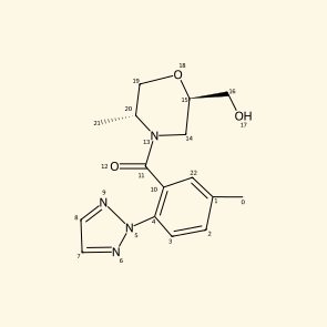 Cc1ccc(-n2nccn2)c(C(=O)N2C[C@H](CO)OC[C@H]2C)c1